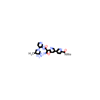 CNC(=O)c1ccc(-c2cnc3c(C(=O)Nc4cnccc4N4CC(C)CC(N)C4)c(N)oc3c2)cn1